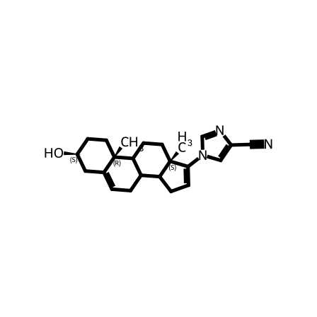 C[C@]12CC[C@H](O)CC1=CCC1C2CC[C@]2(C)C(n3cnc(C#N)c3)=CCC12